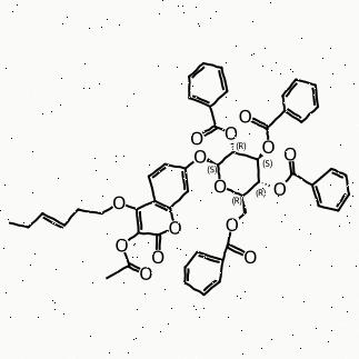 CCC=CCCOc1c(OC(C)=O)c(=O)oc2cc(O[C@@H]3O[C@H](COC(=O)c4ccccc4)[C@@H](OC(=O)c4ccccc4)[C@H](OC(=O)c4ccccc4)[C@H]3OC(=O)c3ccccc3)ccc12